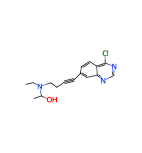 CCN(CCC#Cc1ccc2c(Cl)ncnc2c1)C(C)O